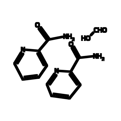 NC(=O)c1ccccn1.NC(=O)c1ccccn1.O=CO